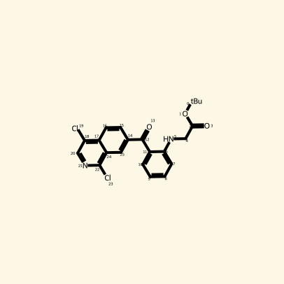 CC(C)(C)OC(=O)CNc1ccccc1C(=O)c1ccc2c(Cl)cnc(Cl)c2c1